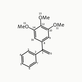 C=C(c1ccccc1)c1cc(OC)c(OC)c(OC)c1